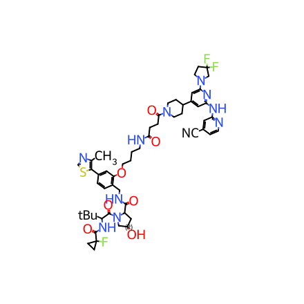 Cc1ncsc1-c1ccc(CNC(=O)C2C[C@@H](O)CN2C(=O)C(NC(=O)C2(F)CC2)C(C)(C)C)c(OCCCCNC(=O)CCC(=O)N2CCC(c3cc(Nc4cc(C#N)ccn4)nc(N4CCC(F)(F)C4)c3)CC2)c1